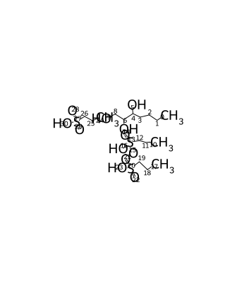 CCCCC(O)C(O)CO.CCCS(=O)(=O)O.CCCS(=O)(=O)O.CCCS(=O)(=O)O